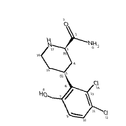 NC(=O)[C@H]1C[C@@H](c2c(O)ccc(Cl)c2Cl)CCN1